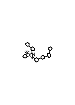 C[Si]1(C)c2ccccc2-c2nc(-c3cccc(-c4ccc(-c5cccc(-c6ccccc6)c5)cc4)c3)nc(-c3cccc(-c4ccccc4)c3)c21